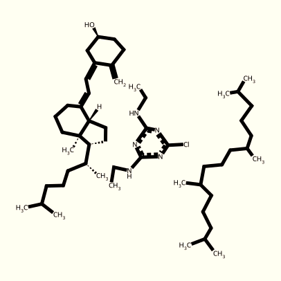 C=C1CC[C@H](O)C/C1=C/C=C1\CCC[C@]2(C)[C@@H]([C@H](C)CCCC(C)C)CC[C@@H]12.CC(C)CCCC(C)CCCC(C)CCCC(C)C.CCNc1nc(Cl)nc(NCC)n1